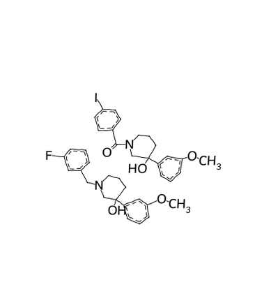 COc1cccc(C2(O)CCCN(C(=O)c3ccc(I)cc3)C2)c1.COc1cccc(C2(O)CCCN(Cc3cccc(F)c3)C2)c1